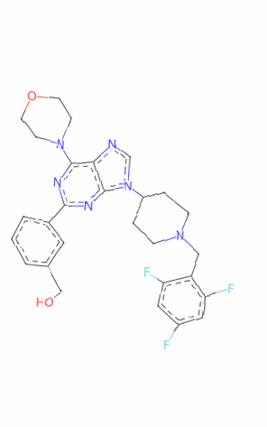 OCc1cccc(-c2nc(N3CCOCC3)c3ncn(C4CCN(Cc5c(F)cc(F)cc5F)CC4)c3n2)c1